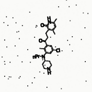 CCCN(c1cc(Cl)cc(C(=O)CCc2c(C)cc(C)[nH]c2=O)c1C)C1CCNCC1